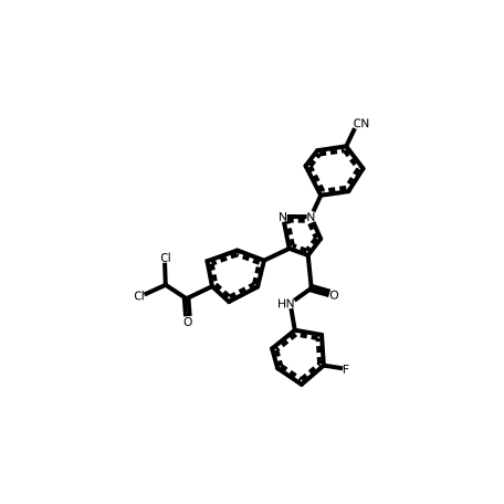 N#Cc1ccc(-n2cc(C(=O)Nc3cccc(F)c3)c(-c3ccc(C(=O)C(Cl)Cl)cc3)n2)cc1